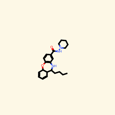 CCCCC1Nc2cc(C(=O)NN3CCCCC3)ccc2OC2C=CC=CC12